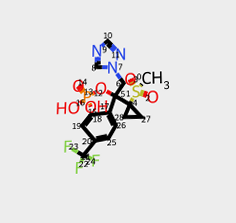 CS(=O)(=O)C1(C(Cn2cncn2)(OP(=O)(O)O)c2ccc(C(F)(F)F)cc2)CC1